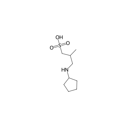 CC(CNC1CCCC1)CS(=O)(=O)O